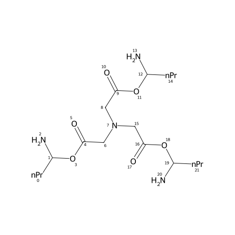 CCCC(N)OC(=O)CN(CC(=O)OC(N)CCC)CC(=O)OC(N)CCC